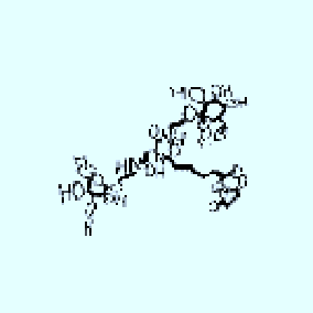 C[C@@H]1O[C@@H](OCCNC(=O)C[C@@H](NC(=O)CCCCC(=O)ON2C(=O)CCC2=O)C(=O)NCCO[C@H]2O[C@H](CO)[C@@H](O)[C@H](O)[C@@H]2O)[C@@H](O)[C@H](O)[C@@H]1O